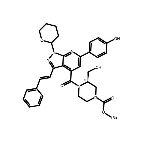 CC(C)(C)OC(=O)N1CCN(C(=O)c2cc(-c3ccc(O)cc3)nc3c2c(C=Cc2ccccc2)nn3C2CCCCO2)[C@@H](CO)C1